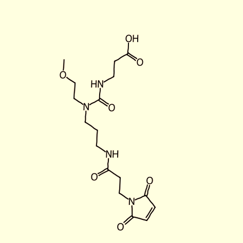 COCCN(CCCNC(=O)CCN1C(=O)C=CC1=O)C(=O)NCCC(=O)O